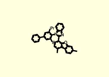 Cc1ccc2c(c1)oc1c(-c3nc4ccccc4n3-c3c(C(C)C)cc(-c4ccccc4)cc3C(C)C)ccc(C)c12